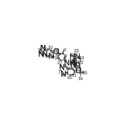 Cc1cc(Nc2ncnc3ccc(OC(C)C)c(N4C[C@H]5[C@@H]4CCN5C)c23)ccc1Oc1cc2ncnn2cn1